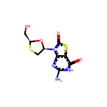 Nc1nc2c(sc(=O)n2[C@H]2CS[C@@H](CO)O2)c(=O)[nH]1